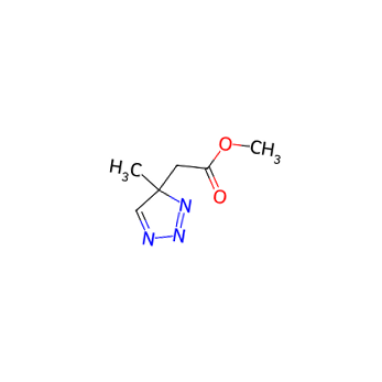 COC(=O)CC1(C)C=NN=N1